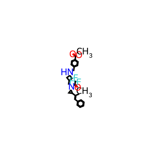 CC/C(=C\c1ccccc1)C1CC1N(CC1CC(NCc2ccc(C(=O)OC)cc2)C1)C(=O)C(F)(F)F